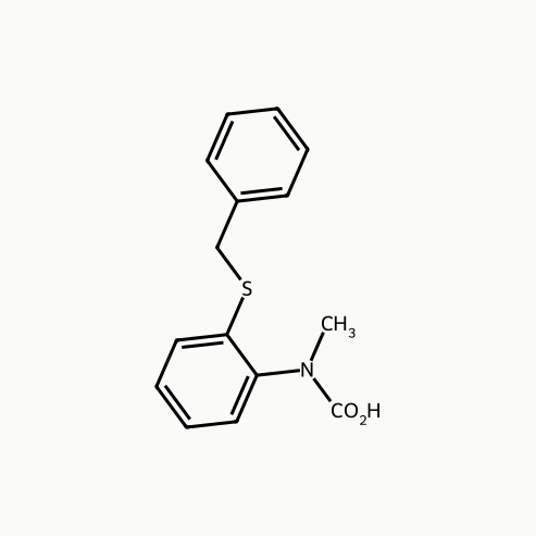 CN(C(=O)O)c1ccccc1SCc1ccccc1